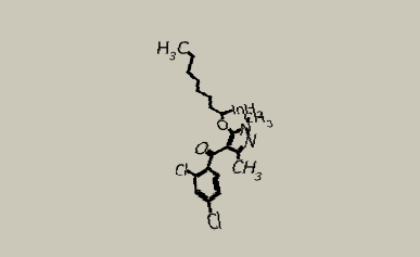 CCCCCCC[CH]([InH2])Oc1c(C(=O)c2ccc(Cl)cc2Cl)c(C)nn1C